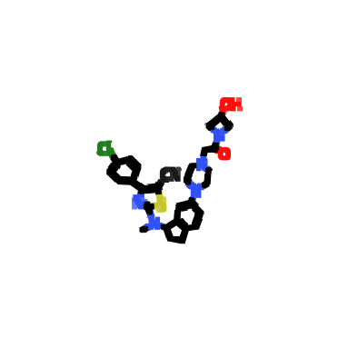 CN(c1nc(-c2ccc(Cl)cc2)c(C#N)s1)C1CCc2ccc(N3CCN(CC(=O)N4CC(O)C4)CC3)cc21